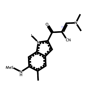 CSNc1cc2c(cc1C)cc(C(=O)/C(C#N)=C/N(C)C)n2I